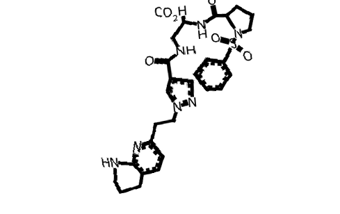 O=C(NCC(NC(=O)C1CCCN1S(=O)(=O)c1ccccc1)C(=O)O)c1cnn(CCc2ccc3c(n2)NCCC3)c1